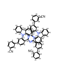 N#Cc1cccc(-c2ccc(-c3nc(-c4cccc(-c5ccccc5C#N)c4)nc(-c4ccc(-c5cccc(C#N)c5)cc4-n4c5ccccc5c5ccccc54)n3)c(-n3c4ccccc4c4ccccc43)c2)c1